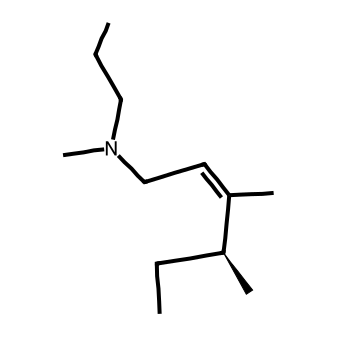 CCCN(C)C/C=C(/C)[C@@H](C)CC